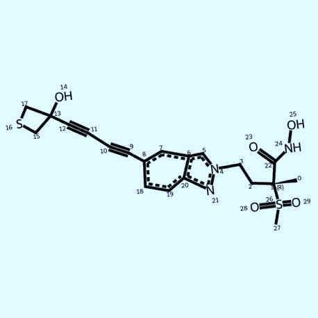 C[C@@](CCn1cc2cc(C#CC#CC3(O)CSC3)ccc2n1)(C(=O)NO)S(C)(=O)=O